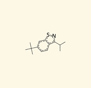 CC(C)c1nsc2cc(C(C)(C)C)ccc12